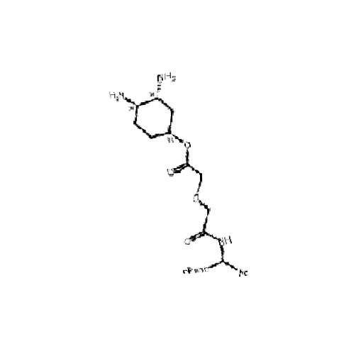 CCCCCC(NC(=O)COCC(=O)O[C@H]1CC[C@@H](N)[C@H](N)C1)C(C)=O